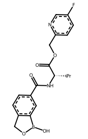 CC(C)[C@H](NC(=O)c1ccc2c(c1)B(O)OC2)C(=O)OCc1ccc(F)cn1